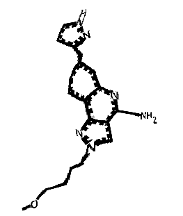 COCCCCn1cc2c(N)nc3cc(-c4cc[nH]n4)ccc3c2n1